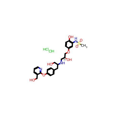 CS(=O)(=O)Nc1cc(OC[C@@H](O)CNC(CO)Cc2ccc(Oc3ncccc3CO)cc2)ccc1O.Cl.Cl